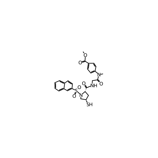 COC(=O)c1ccc(N(C)C(=O)CNC(=O)[C@@H]2C[C@@H](S)CN2S(=O)(=O)c2ccc3ccccc3c2)cc1